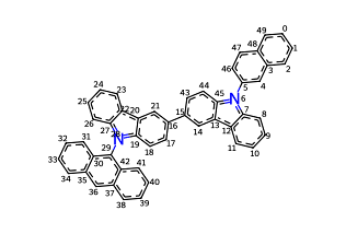 c1ccc2cc(-n3c4ccccc4c4cc(-c5ccc6c(c5)c5ccccc5n6-c5c6ccccc6cc6ccccc56)ccc43)ccc2c1